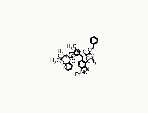 CCn1nnc2c(C)c([C@H](c3cc(CN4CC(C)(C)Oc5ncccc5S4(=O)=O)c(C)s3)C(C)(C)C(=O)OCc3ccccc3)ccc21